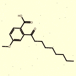 CCCCCCCCC(=O)c1cc(OC)ccc1C(=O)O